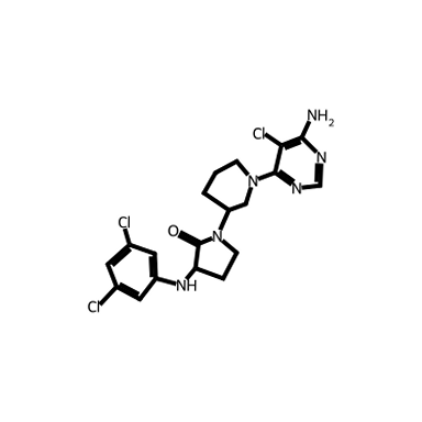 Nc1ncnc(N2CCCC(N3CCC(Nc4cc(Cl)cc(Cl)c4)C3=O)C2)c1Cl